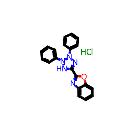 Cl.c1ccc(N2N=C(c3nc4ccccc4o3)NN2c2ccccc2)cc1